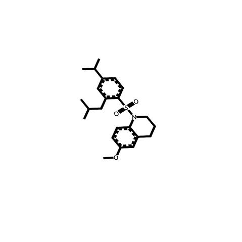 COc1ccc2c(c1)CCCN2S(=O)(=O)c1ccc(C(C)C)cc1CC(C)C